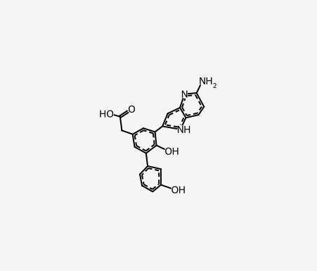 Nc1ccc2[nH]c(-c3cc(CC(=O)O)cc(-c4cccc(O)c4)c3O)cc2n1